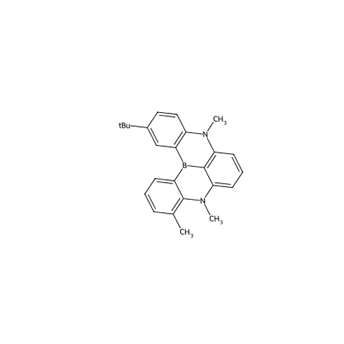 Cc1cccc2c1N(C)c1cccc3c1B2c1cc(C(C)(C)C)ccc1N3C